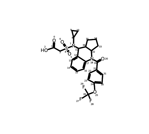 O=C(O)CS(=O)(=O)N(C1CC1)C1c2ccccc2N(C(=O)c2ccc(OC(F)(F)F)cc2)C2CCCC21